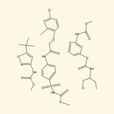 CCC(CCl)NC(=O)Oc1cccc(NC(=O)OC)c1.COC(=O)NS(=O)(=O)c1ccc(NC(=O)COc2ccc(Cl)cc2C)cc1.COC(=O)Nc1cc(C(C)(C)C)on1